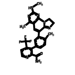 CNc1nc(C)c2c(n1)N1CCN=C1C(c1cc(-c3c(C(F)(F)F)ccnc3C(N)=O)ccc1C)=C2